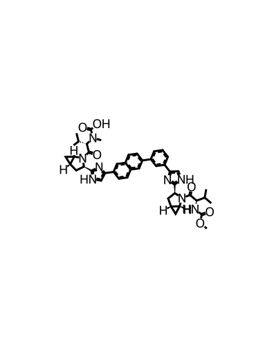 COC(=O)N[C@H](C(=O)N1[C@@H]2C[C@@H]2C[C@H]1c1nc(-c2cccc(-c3ccc4cc(-c5c[nH]c([C@H]6C[C@@H]7C[C@@H]7N6C(=O)[C@H](C(C)C)N(C)C(=O)O)n5)ccc4c3)c2)c[nH]1)C(C)C